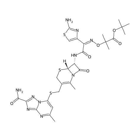 CC1=C(CSc2cc(C)nc3nc(C(N)=O)nn23)CS[C@@H]2[C@H](NC(=O)/C(=N\OC(C)(C)C(=O)OC(C)(C)C)c3csc(N)n3)C(=O)N12